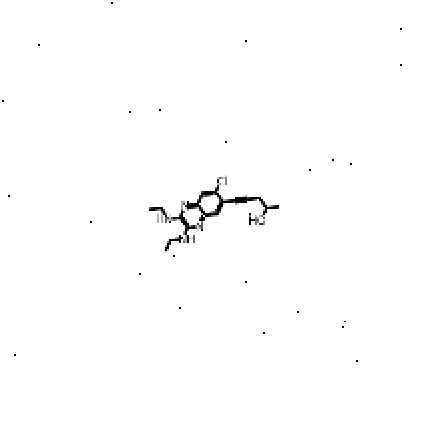 CCNc1nc2cc(Cl)c(C#CCC(C)O)cc2nc1NCC